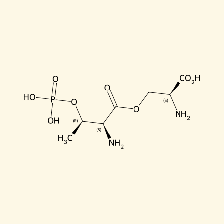 C[C@@H](OP(=O)(O)O)[C@H](N)C(=O)OC[C@H](N)C(=O)O